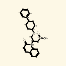 O=c1ccc2ccccc2n1C(COC1CCC(c2ccccc2)CC1)C[N+](=O)[O-]